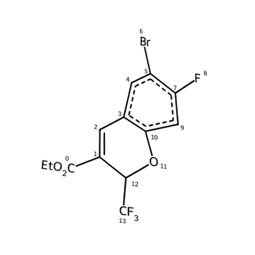 CCOC(=O)C1=Cc2cc(Br)c(F)cc2OC1C(F)(F)F